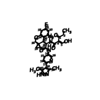 C=C(CC)/C(=C\O)C(=O)NC(C(=O)Nc1ccc(-c2c(C)n[nH]c2C)nc1)C1c2ccc(F)cc2OCC12CC2